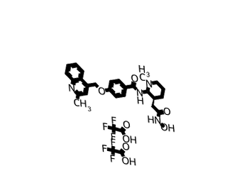 Cc1cc(COc2ccc(C(=O)NC3[C@H](CC(=O)NO)CCCN3C)cc2)c2ccccc2n1.O=C(O)C(F)(F)F.O=C(O)C(F)(F)F